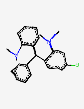 CN(C)c1ccccc1C(c1ccccc1)c1ccc(Cl)cc1N(C)C